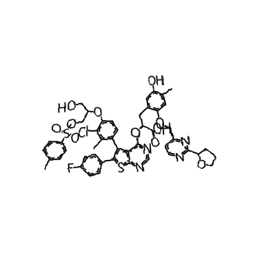 Cc1ccc(S(=O)(=O)OCC(CO)Oc2ccc(-c3c(-c4ccc(F)cc4)sc4ncnc(OC(Cc5cc(O)c(C)cc5OCc5ccnc(C6CCCO6)n5)C(=O)O)c34)c(C)c2Cl)cc1